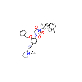 CC(=O)N1CCCCC1/C=C/c1ccc(N2CC(=O)N(CC[Si](C)(C)C)S2(=O)=O)c(OCc2ccccc2)c1